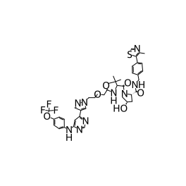 Cc1ncsc1-c1ccc(CNC(=O)[C@@H]2C[C@@H](O)CN2C(=O)C(NC(=O)COCCn2cc(-c3cc(Nc4ccc(OC(F)(F)F)cc4)ncn3)cn2)C(C)(C)C)cc1